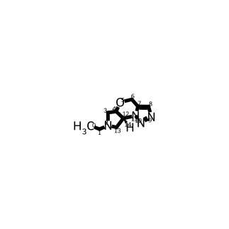 CCN1CC2OCc3cnnn3[C@@H]2C1